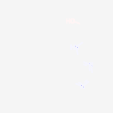 CC(O)CNc1ncnc2cc(SC(C)(C)C)ccc12